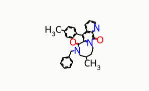 Cc1ccc(-c2c3n(c(=O)c4ncccc24)CCC(C)CN(Cc2ccccc2)C3=O)cc1